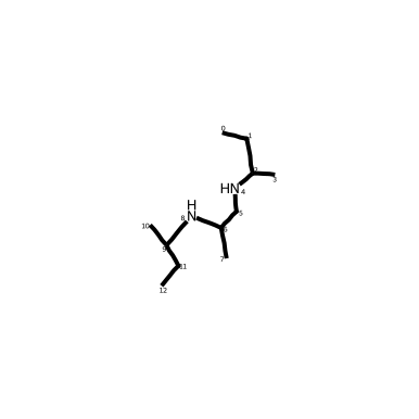 CCC(C)NCC(C)NC(C)CC